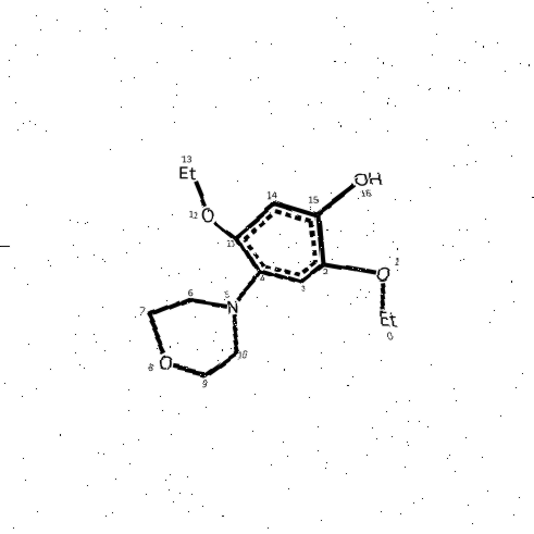 CCOc1cc(N2CCOCC2)c(OCC)cc1O